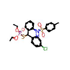 CCOP(=O)(OCC)SC(c1ccc(Cl)cc1)c1ccccc1NS(=O)(=O)c1ccc(C)cc1